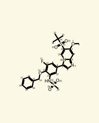 COc1cc2ncc(-c3cc(F)c(OCc4ccccc4)c(NS(C)(=O)=O)c3)n2cc1S(=O)(=O)C(C)(C)C